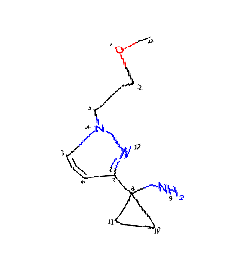 COCCn1ccc(C2(N)CC2)n1